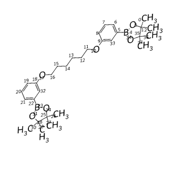 CC1(C)OB(c2cccc(OCCCCCCOc3cccc(B4OC(C)(C)C(C)(C)O4)c3)c2)OC1(C)C